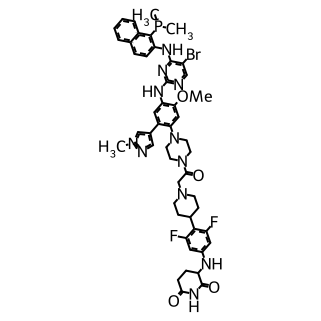 COc1cc(N2CCN(C(=O)CN3CCC(c4c(F)cc(NC5CCC(=O)NC5=O)cc4F)CC3)CC2)c(-c2cnn(C)c2)cc1Nc1ncc(Br)c(Nc2ccc3ccccc3c2P(C)C)n1